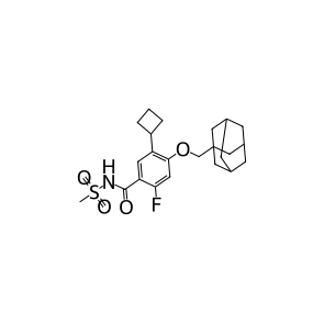 CS(=O)(=O)NC(=O)c1cc(C2CCC2)c(OCC23CC4CC(CC(C4)C2)C3)cc1F